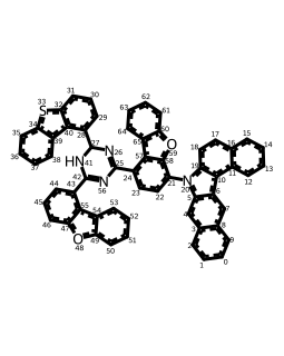 c1ccc2cc3c(cc2c1)c1c2ccccc2ccc1n3-c1ccc(C2=NC(c3cccc4sc5ccccc5c34)NC(c3cccc4oc5ccccc5c34)=N2)c2c1oc1ccccc12